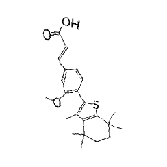 COc1cc(C=CC(=O)O)ccc1-c1sc2c(c1C)C(C)(C)CCC2(C)C